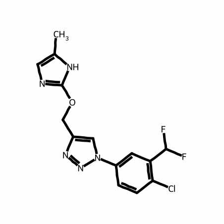 Cc1cnc(OCc2cn(-c3ccc(Cl)c(C(F)F)c3)nn2)[nH]1